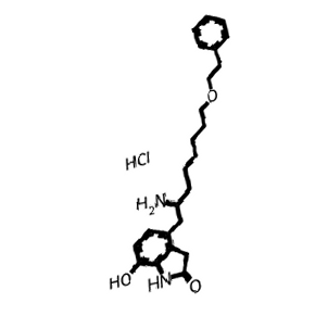 Cl.NC(CCCCCCOCCc1ccccc1)Cc1ccc(O)c2c1CC(=O)N2